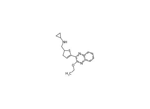 CCOc1nc2ccccc2nc1C1=CCC(CNC2CC2)S1